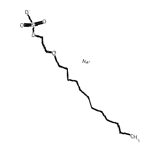 CCCCCCCCCCCCOCCOS(=O)(=O)[O-].[Na+]